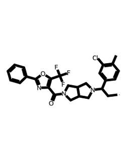 [CH2]CC(c1ccc(C)c(Cl)c1)N1CC2CN(C(=O)c3nc(-c4ccccc4)oc3C(F)(F)F)CC2C1